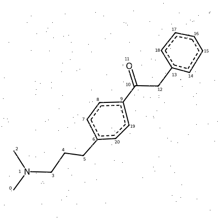 CN(C)CCCc1ccc(C(=O)Cc2ccccc2)cc1